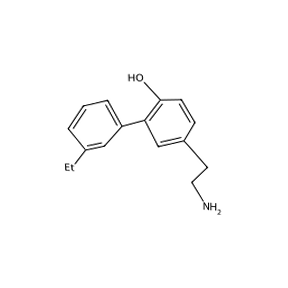 CCc1cccc(-c2cc(CCN)ccc2O)c1